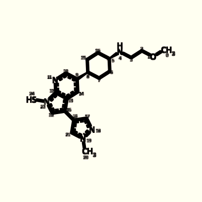 COCCN[C@H]1CC[C@@H](c2cnc3c(c2)c(-c2cnn(C)c2)cn3S)CC1